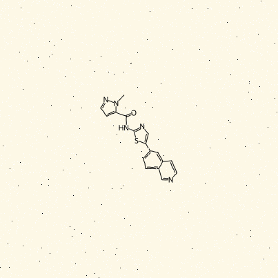 Cn1nccc1C(=O)Nc1ncc(-c2ccc3cnccc3c2)s1